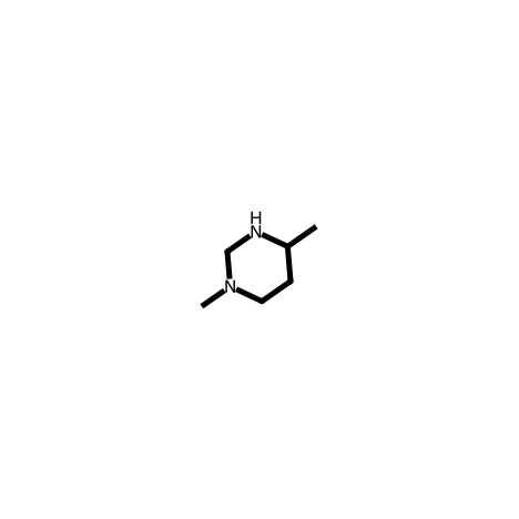 CC1CCN(C)CN1